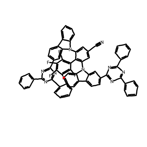 N#Cc1cc(-n2c3ccccc3c3ccc(-c4nc(-c5ccccc5)nc(-c5ccccc5)n4)cc32)c(-c2c(F)c(F)c(F)c(F)c2F)c(-n2c3ccccc3c3ccc(-c4nc(-c5ccccc5)nc(-c5ccccc5)n4)cc32)c1